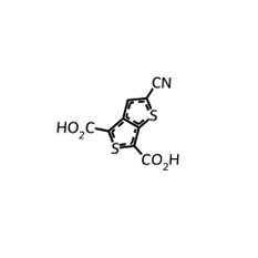 N#Cc1cc2c(C(=O)O)sc(C(=O)O)c2s1